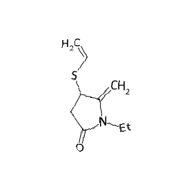 C=CSC1CC(=O)N(CC)C1=C